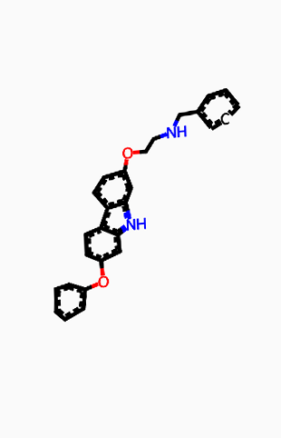 c1ccc(CNCCOc2ccc3c(c2)[nH]c2cc(Oc4ccccc4)ccc23)cc1